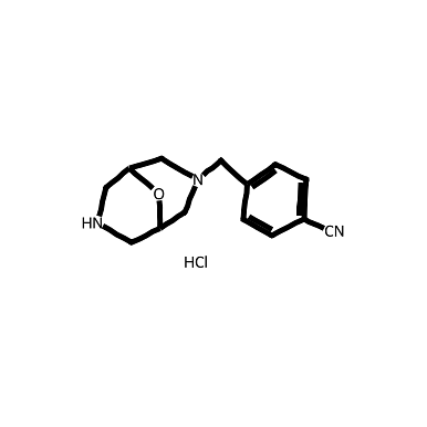 Cl.N#Cc1ccc(CN2CC3CNCC(C2)O3)cc1